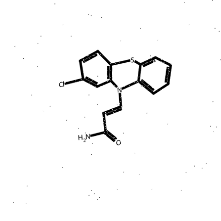 NC(=O)C=CN1c2ccccc2Sc2ccc(Cl)cc21